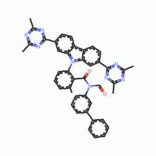 Cc1nc(C)nc(-c2ccc3c4ccc(-c5nc(C)nc(C)n5)cc4n(-c4cccc(C)c4C(=O)N(C=O)c4cccc(-c5ccccc5)c4)c3c2)n1